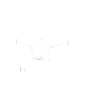 CC(C)c1oc(C(F)(F)F)cc1F